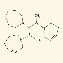 CC(C(C(C)N1CC=CCCC1)N1CCCCCC1)N1CC=CCC1